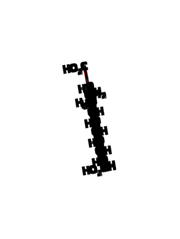 N[C@@H](CCCCNC(=O)CCCCCCCCCCCCCCCCCCC(=O)O)C(=O)NCCCC[C@H](N)C(=O)NCCOCCOCC(=O)NCCOCCOCC(=O)NCCOCCOCC(=O)NCCOCCOCC(=O)NCCOCCOCC(=O)NCCOCCOCC(=O)NCCCC[C@H](NS)C(=O)O